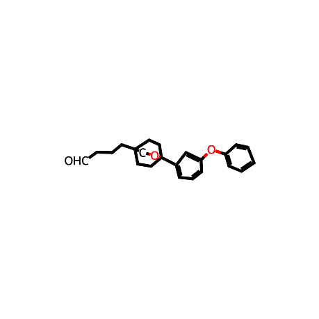 O=CCCCC12CCC(c3cccc(Oc4ccccc4)c3)(CC1)OC2